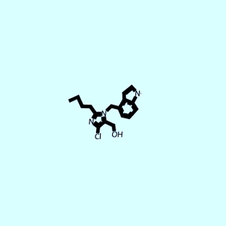 CCCCc1nc(Cl)c(CO)n1Cc1cccc2c1C=C[N]2